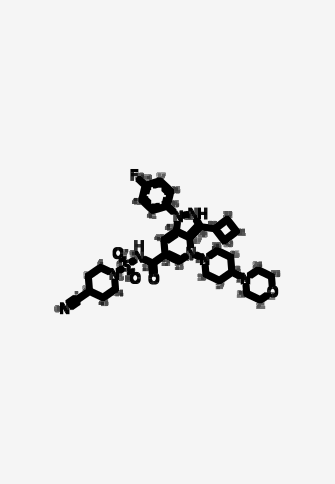 N#CC1CCN(S(=O)(=O)NC(=O)C2=CN(N3CCC(N4CCOCC4)CC3)C3=C(C4CCC4)NN(c4ccc(F)cc4)C3=C2)CC1